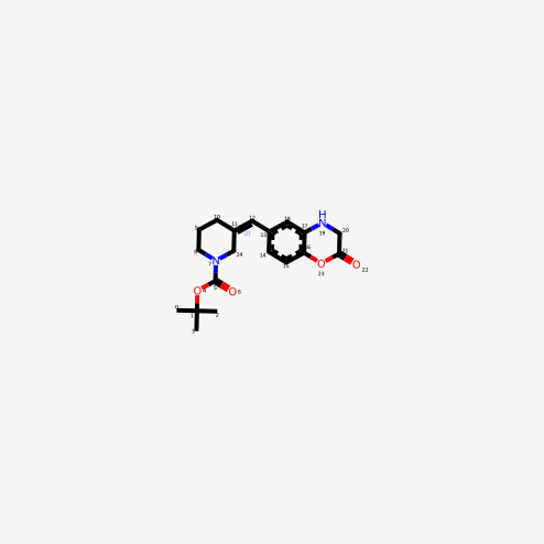 CC(C)(C)OC(=O)N1CCC/C(=C/c2ccc3c(c2)NCC(=O)O3)C1